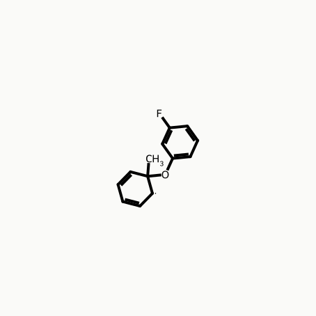 CC1(Oc2cccc(F)c2)[CH]C=CC=C1